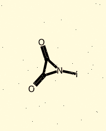 O=c1c(=O)n1I